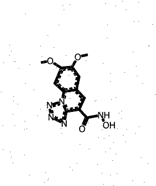 COc1cc2cc(C(=O)NO)c3nnnn3c2cc1OC